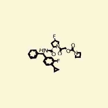 O=C(N[C@@H](c1ccccc1)c1ccc(C2CC2)c(F)c1)[C@@H]1C[C@@H](F)CN1C(=O)COC(=O)N1CCC1